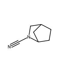 N#CN1CC2CCC1C2